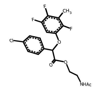 CC(=O)NCCOC(=O)C(Oc1cc(F)c(F)c(C)c1F)c1ccc(Cl)cc1